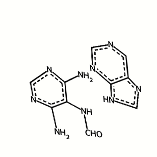 Nc1ncnc(N)c1NC=O.c1ncc2nc[nH]c2n1